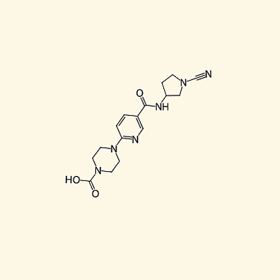 N#CN1CCC(NC(=O)c2ccc(N3CCN(C(=O)O)CC3)nc2)C1